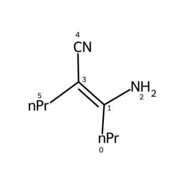 CCC/C(N)=C(/C#N)CCC